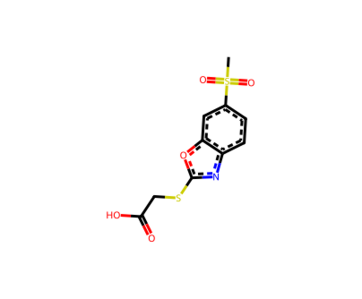 CS(=O)(=O)c1ccc2nc(SCC(=O)O)oc2c1